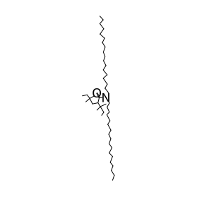 CCCCCCCCCCCCCCCCCCN(CCCCCCCCCCCCCCCCCC)C(=O)C(CC(C)(C)CC)C(C)(C)CC